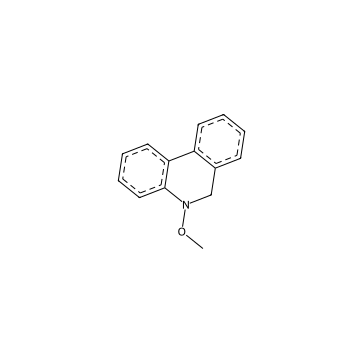 CON1Cc2ccccc2-c2ccccc21